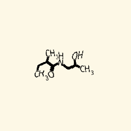 CCC(C)C(=O)NCC(C)O